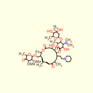 CCC1OC(=O)CC(O)C(C)C(OC2OC(C)C(OC3CC(C)(O)C(O)C(C)O3)C(N(C)C)C2O)C(CCN2CCCCC2)CC(C)C(=O)/C=C/C(C)=C/C1COC1OC(C)C(=O)C(OC)C1OC